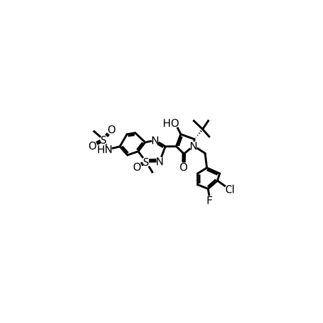 CC(C)(C)[C@H]1C(O)=C(C2=Nc3ccc(NS(C)(=O)=O)cc3S(C)(=O)=N2)C(=O)N1Cc1ccc(F)c(Cl)c1